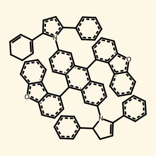 C1=CC(c2ccc(-c3ccccc3)n2-c2ccc3c(-c4cccc5oc6ccccc6c45)c4cc(N5C(c6ccccc6)=CCC5c5ccccc5)ccc4c(-c4cccc5oc6ccccc6c45)c3c2)=CCC1